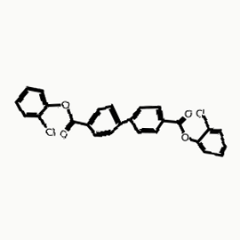 O=C(Oc1ccccc1Cl)c1ccc(-c2ccc(C(=O)Oc3ccccc3Cl)cc2)cc1